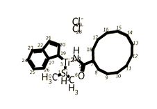 C[SiH](C)[Ti+2]([NH]C(=O)C1CCCCCCCCCCC1)[CH]1C=Cc2ccccc21.[Cl-].[Cl-]